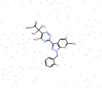 COC(=O)C(C)(C)c1nnc(-c2nn(Cc3ccccc3F)c3nc(C)c(F)cc23)nc1O